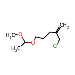 C=C(CCl)CCCOC(C)OC